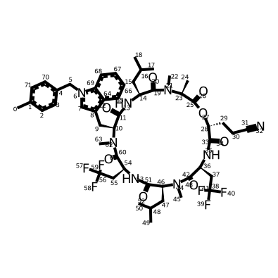 Cc1ccc(Cn2cc(C[C@H]3C(=O)N[C@@H](CC(C)C)C(=O)N(C)[C@@H](C)C(=O)O[C@H](CCC#N)C(=O)N[C@@H](CC(F)(F)F)C(=O)N(C)[C@@H](CC(C)C)C(=O)N[C@@H](CC(F)(F)F)C(=O)N3C)c3ccccc32)cc1